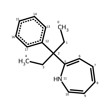 CCC(CC)(C1=CC=CC=CN1)c1ccccc1